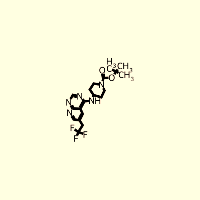 CC(C)(C)OC(=O)N1CCC(Nc2ncnc3ncc(CC(F)(F)F)cc23)CC1